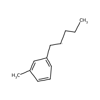 CCC[CH]Cc1cccc(C)c1